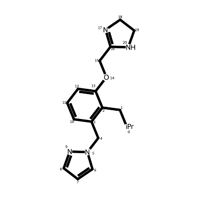 CC(C)Cc1c(Cn2cccn2)cccc1OCC1=NCCN1